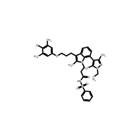 CCn1nc(C)c(-c2cccc3c(CCCOc4cc(C)c(Cl)c(C)c4)c(C)n(CCC(=O)NS(=O)(=O)c4ccccc4)c23)c1C